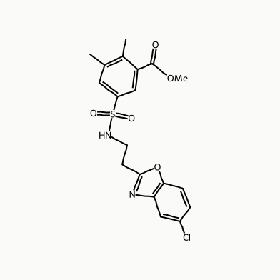 COC(=O)c1cc(S(=O)(=O)NCCc2nc3cc(Cl)ccc3o2)cc(C)c1C